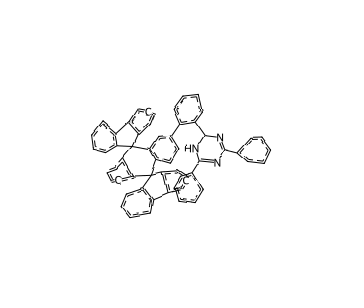 c1ccc(C2=NC(c3ccccc3-c3ccc4c(c3)C3(c5ccccc5-c5ccccc53)c3ccccc3C43c4ccccc4-c4ccccc43)NC(c3ccccc3)=N2)cc1